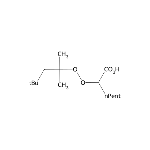 CCCCCC(OOC(C)(C)CC(C)(C)C)C(=O)O